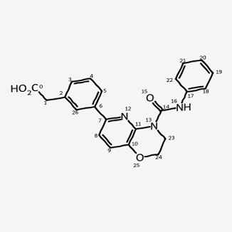 O=C(O)Cc1cccc(-c2ccc3c(n2)N(C(=O)Nc2ccccc2)CCO3)c1